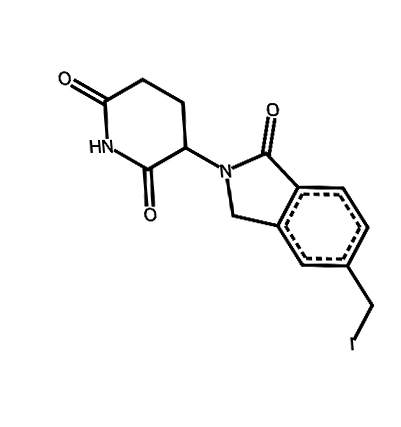 O=C1CCC(N2Cc3cc(CI)ccc3C2=O)C(=O)N1